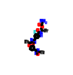 CCc1nc(-c2ccc(OC(CC)c3nc(-c4ccc(C(=O)N[C@@H](COC(=O)CN)C(C)C)c(F)c4)no3)cc2)no1